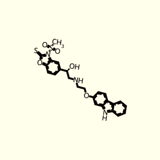 CS(=O)(=O)n1c(=S)oc2ccc([C@@H](O)CNCCOc3ccc4c(c3)[nH]c3ccccc34)cc21